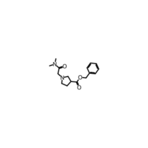 CN(C)C(=O)CN1CCC(C(=O)OCc2ccccc2)C1